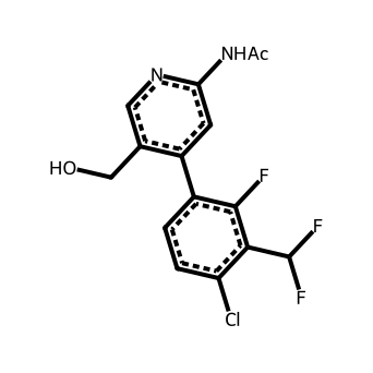 CC(=O)Nc1cc(-c2ccc(Cl)c(C(F)F)c2F)c(CO)cn1